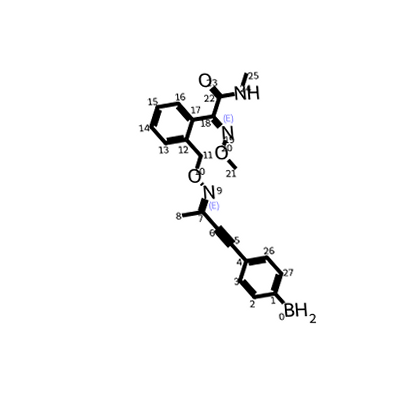 Bc1ccc(C#C/C(C)=N/OCc2ccccc2/C(=N\OC)C(=O)NC)cc1